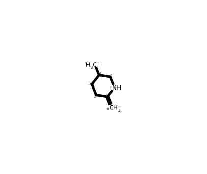 C=C1CCC(C)CN1